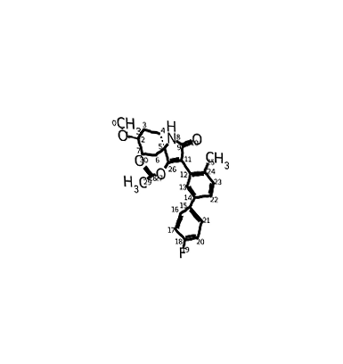 CO[C@H]1CC[C@]2(CC1)NC(=O)C(c1cc(-c3ccc(F)cc3)ccc1C)=C2OC(C)=O